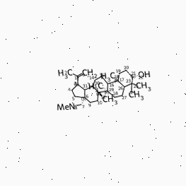 C=C(C)[C@@H]1CC[C@]2(CNC)CC[C@]3(C)C(CCC4[C@@]5(C)CC[C@H](O)C(C)(C)C5CC[C@]43C)C12